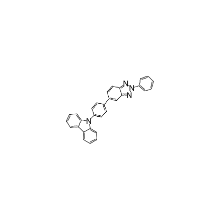 c1ccc(-n2nc3ccc(-c4ccc(-n5c6ccccc6c6ccccc65)cc4)cc3n2)cc1